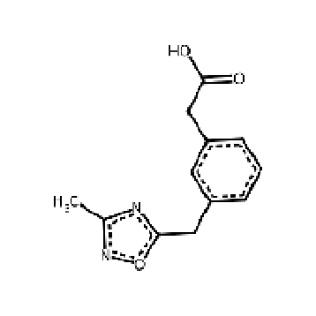 Cc1noc(Cc2cccc(CC(=O)O)c2)n1